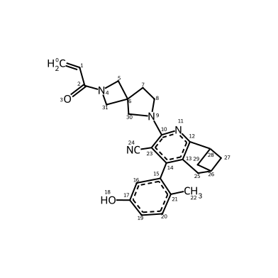 C=CC(=O)N1CC2(CCN(c3nc4c(c(-c5cc(O)ccc5C)c3C#N)CC3CC4C3)C2)C1